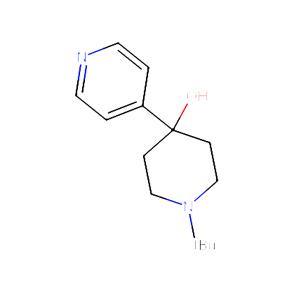 CC(C)(C)N1CCC(O)(c2ccncc2)CC1